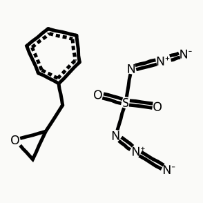 [N-]=[N+]=NS(=O)(=O)N=[N+]=[N-].c1ccc(CC2CO2)cc1